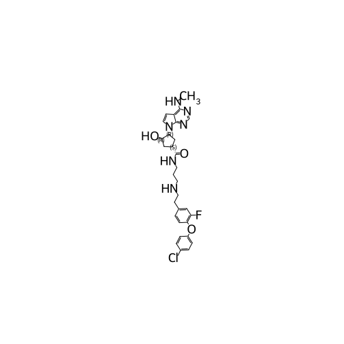 CNc1ncnc2c1ccn2[C@@H]1C[C@H](C(=O)NCCCNCCc2ccc(Oc3ccc(Cl)cc3)c(F)c2)C[C@H]1O